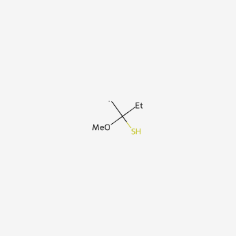 [CH2]C(S)(CC)OC